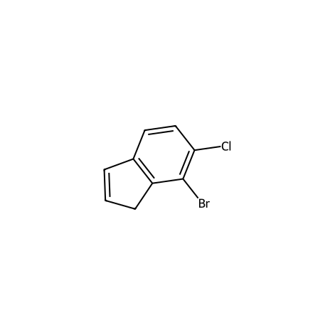 Clc1ccc2c(c1Br)CC=C2